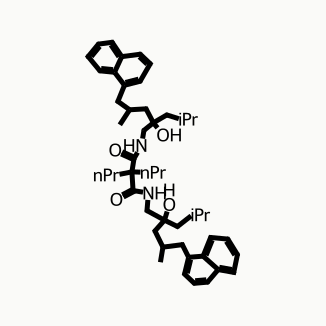 CCCC(CCC)(C(=O)NCC(O)(CC(C)C)CC(C)Cc1cccc2ccccc12)C(=O)NCC(O)(CC(C)C)CC(C)Cc1cccc2ccccc12